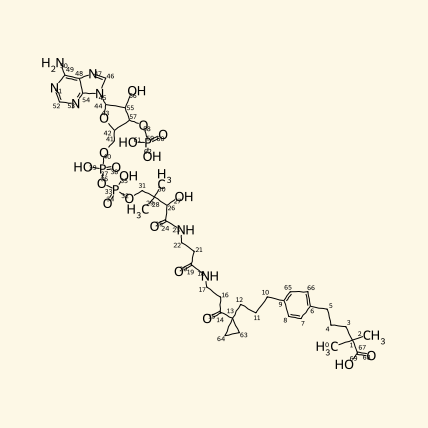 CC(C)(CCCc1ccc(CCCC2(C(=O)CCNC(=O)CCNC(=O)C(O)C(C)(C)COP(=O)(O)OP(=O)(O)OCC3OC(n4cnc5c(N)ncnc54)C(O)C3OP(=O)(O)O)CC2)cc1)C(=O)O